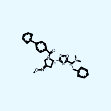 CO/N=C1/C[C@@H](c2noc([C@@H](Cc3ccccc3)N(C)C)n2)N(C(=O)c2ccc(-c3ccccc3)cc2)C1